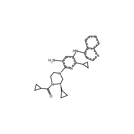 Nc1cc(Nc2ccnc3ccccc23)c(C2CC2)nc1N1CCN(C(=O)C2CC2)[C@H](C2CC2)C1